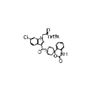 CC(C)(C)OC(=O)Cn1cc(C(=O)N2CCC3(CC2)OC(=O)Nc2ccccc23)c2ccc(Cl)cc21